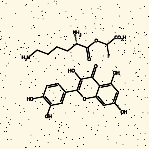 NCCCC[C@H](N)C(=O)OC(F)C(=O)O.O=c1c(O)c(-c2ccc(O)c(O)c2)oc2cc(O)cc(O)c12